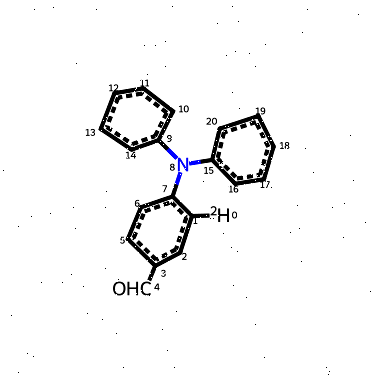 [2H]c1cc(C=O)ccc1N(c1ccccc1)c1ccccc1